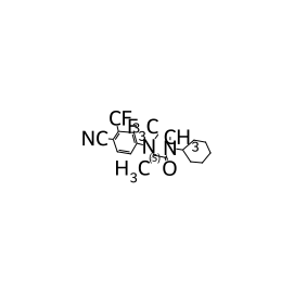 C[C@@H](C(=O)N(C)C1CCCCC1)N(CC(F)(F)F)c1ccc(C#N)c(C(F)(F)F)c1